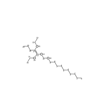 CCCCCCCCCCOCOC(OCC)=C(CCC)OCC